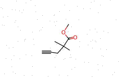 C#CCC(C)(C)C(=O)OC